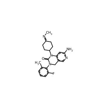 CN=C1CCC(N2C(=O)N(c3c(C)cccc3F)Cc3cnc(N)cc32)CC1